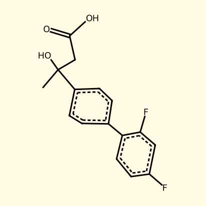 CC(O)(CC(=O)O)c1ccc(-c2ccc(F)cc2F)cc1